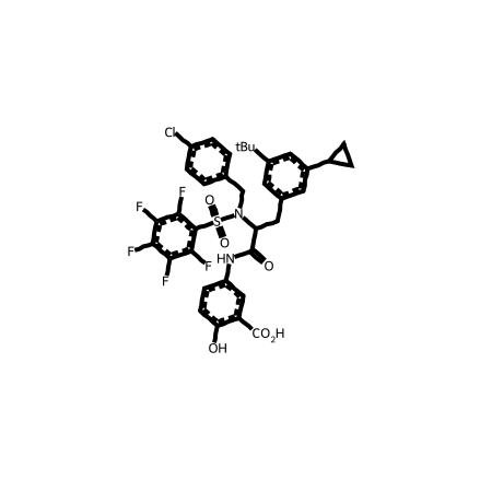 CC(C)(C)c1cc(CC(C(=O)Nc2ccc(O)c(C(=O)O)c2)N(Cc2ccc(Cl)cc2)S(=O)(=O)c2c(F)c(F)c(F)c(F)c2F)cc(C2CC2)c1